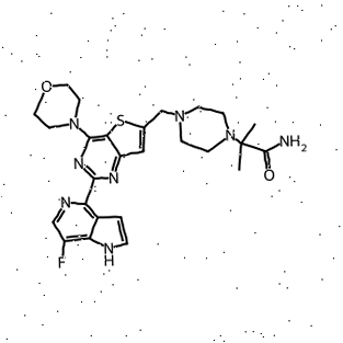 CC(C)(C(N)=O)N1CCN(Cc2cc3nc(-c4ncc(F)c5[nH]ccc45)nc(N4CCOCC4)c3s2)CC1